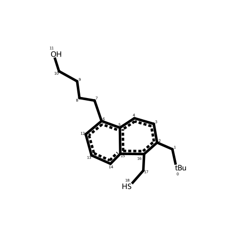 CC(C)(C)Cc1ccc2c(CCCCO)cccc2c1CS